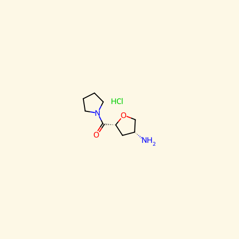 Cl.N[C@H]1CO[C@@H](C(=O)N2CCCC2)C1